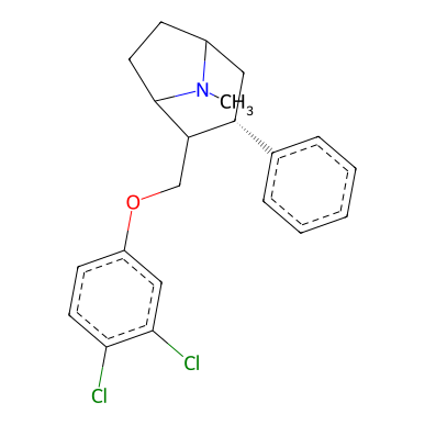 CN1C2CCC1C(COc1ccc(Cl)c(Cl)c1)[C@@H](c1ccccc1)C2